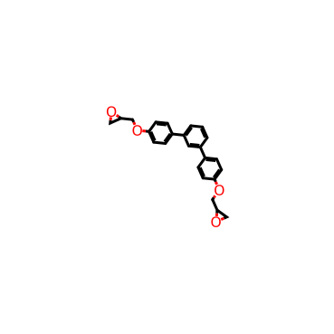 c1cc(-c2ccc(OCC3CO3)cc2)cc(-c2ccc(OCC3CO3)cc2)c1